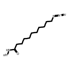 CCCNC(=O)CCCCCCCCCCN=[N+]=[N-]